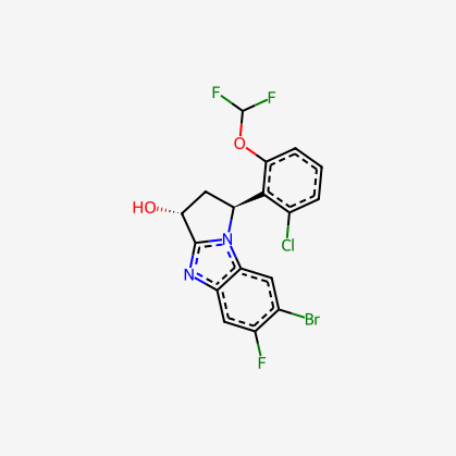 O[C@@H]1C[C@@H](c2c(Cl)cccc2OC(F)F)n2c1nc1cc(F)c(Br)cc12